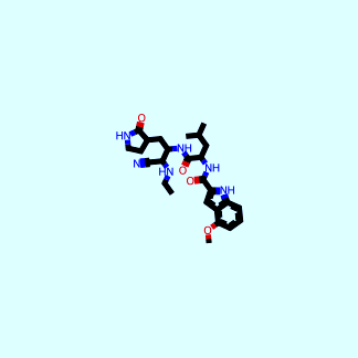 CCNC(C#N)C(CC1CCNC1=O)NC(=O)C(CC(C)C)NC(=O)c1cc2c(OC)cccc2[nH]1